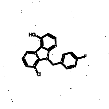 Oc1cccc2c1c1cccc(Cl)c1n2Cc1ccc(F)cc1